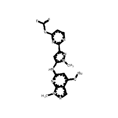 Cn1nc(-c2nccc(OC(F)F)n2)cc1Nc1cc(OC(C)(C)C)c2cnn(C)c2n1